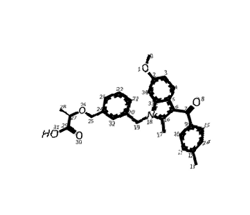 COc1ccc2c(C(=O)c3ccc(C)cc3)c(C)n(Cc3cccc(CO[C@H](C)C(=O)O)c3)c2c1